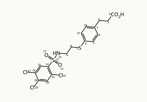 O=C(O)CCc1ccc(SCCNS(=O)(=O)c2cc(Cl)c(Cl)cc2Cl)cc1